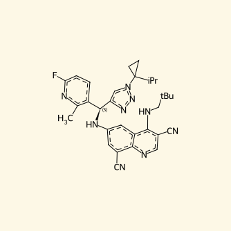 Cc1nc(F)ccc1[C@H](Nc1cc(C#N)c2ncc(C#N)c(NCC(C)(C)C)c2c1)c1cn(C2(C(C)C)CC2)nn1